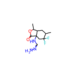 CC1OC(=O)C2(N/C=N\N)CC(F)(F)C(C)CC12